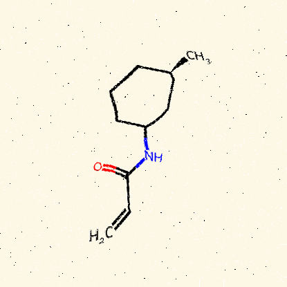 C=CC(=O)NC1CCC[C@@H](C)C1